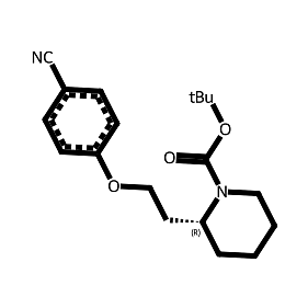 CC(C)(C)OC(=O)N1CCCC[C@@H]1CCOc1ccc(C#N)cc1